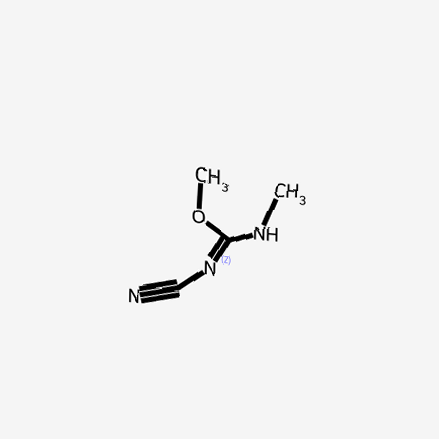 CN/C(=N/C#N)OC